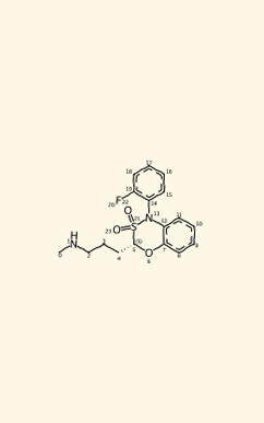 CNCCC[C@H]1Oc2ccccc2N(c2ccccc2F)S1(=O)=O